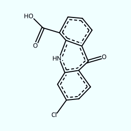 O=C(O)c1cccc2c(=O)c3ccc(Cl)cc3[nH]c12